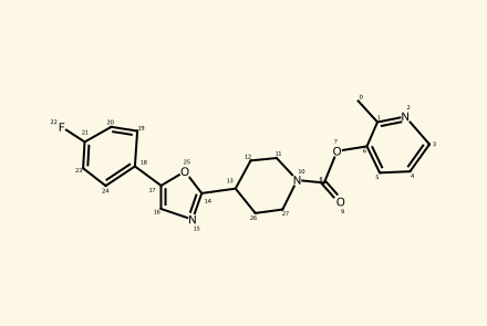 Cc1ncccc1OC(=O)N1CCC(c2ncc(-c3ccc(F)cc3)o2)CC1